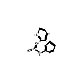 O=[SH](=O)Nc1ccccc1.c1ccncc1